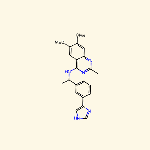 COc1cc2nc(C)nc(NC(C)c3cccc(-c4c[nH]cn4)c3)c2cc1OC